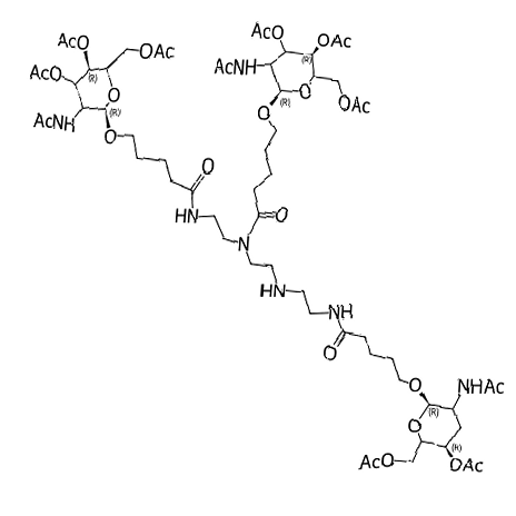 CC(=O)NC1C[C@@H](OC(C)=O)C(COC(C)=O)O[C@H]1OCCCCC(=O)NCCNCCN(CCNC(=O)CCCCO[C@@H]1OC(COC(C)=O)[C@H](OC(C)=O)C(OC(C)=O)C1NC(C)=O)C(=O)CCCCO[C@@H]1OC(COC(C)=O)[C@H](OC(C)=O)C(OC(C)=O)C1NC(C)=O